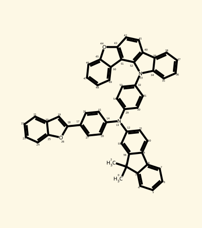 CC1(C)c2ccccc2-c2ccc(N(c3ccc(-c4cc5ccccc5o4)cc3)c3ccc(-n4c5ccccc5c5ccc6oc7ccccc7c6c54)cc3)cc21